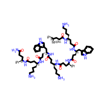 CC(=O)N[C@H](CCC(=O)N[C@@H](CCCCN)CCC(=O)N[C@H](CCC(=O)N[C@H](CCC(=O)N[C@@H](CCCCN)CCC(=O)N[C@H](CCC(=O)N[C@@H](CCCCN)CCC(=O)N[C@H](CCC(N)=O)C(C)C)Cc1c[nH]c2ccccc12)C(C)C)Cc1c[nH]c2ccccc12)C(C)C